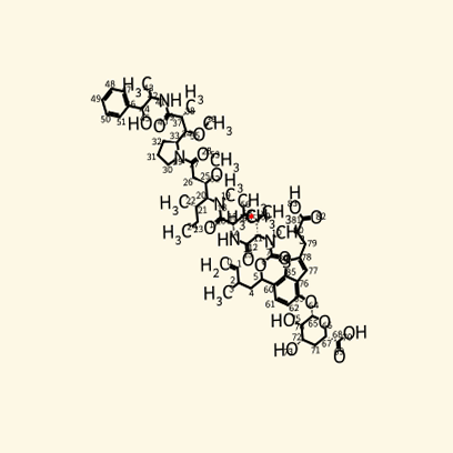 C=CC(C)CC(OC(=O)N(C)[C@H](C(=O)N[C@H](C(=O)N(C)[C@@H]([C@@H](C)CC)[C@@H](CC(=O)N1CCC[C@H]1[C@H](OC)[C@@H](C)C(=O)N[C@H](C)[C@@H](O)c1ccccc1)OC)C(C)C)C(C)C)c1ccc(O[C@@H]2O[C@H](C(=O)O)C[C@H](O)[C@H]2O)c2cc(CCC(=O)O)sc12